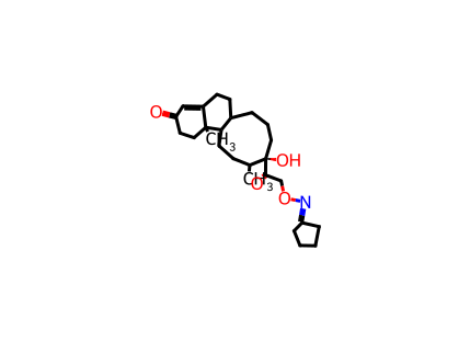 CC1CCC2C(CCC[C@]1(O)C(=O)CON=C1CCCC1)CCC1=CC(=O)CCC12C